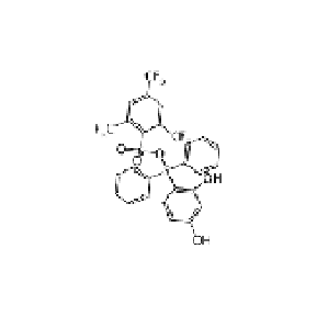 O=S(=O)(OS(c1ccccc1)(c1ccccc1)c1ccc(O)cc1O)c1c(C(F)(F)F)cc(C(F)(F)F)cc1C(F)(F)F